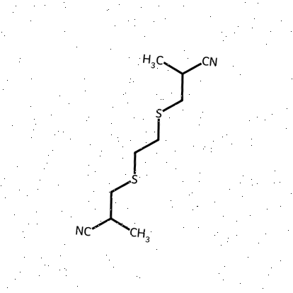 CC(C#N)CSCCSCC(C)C#N